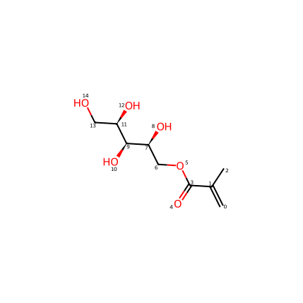 C=C(C)C(=O)OC[C@H](O)[C@@H](O)[C@H](O)CO